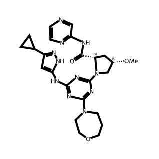 CO[C@H]1C[C@@H](C(=O)Nc2cnccn2)N(c2nc(Nc3cc(C4CC4)n[nH]3)nc(N3CCCOCC3)n2)C1